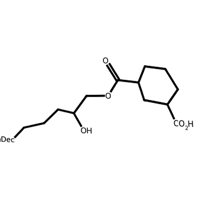 CCCCCCCCCCCCCC(O)COC(=O)C1CCCC(C(=O)O)C1